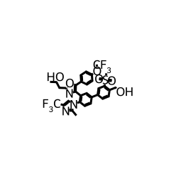 Cc1nc(C(F)(F)F)cn1-c1ccc(-c2ccc(CO)c(S(C)(=O)=O)c2)cc1-c1nc(CC(C)O)oc1-c1ccc(OC(F)(F)F)cc1